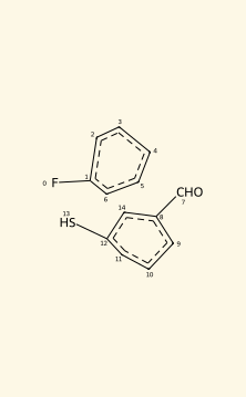 Fc1ccccc1.O=Cc1cccc(S)c1